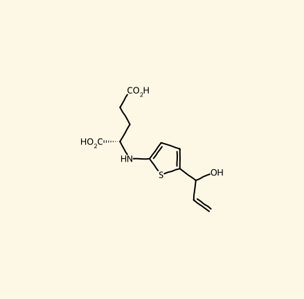 C=CC(O)c1ccc(N[C@@H](CCC(=O)O)C(=O)O)s1